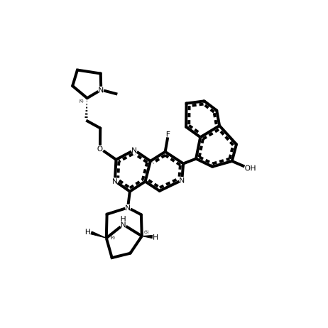 CN1CCC[C@H]1CCOc1nc(N2C[C@H]3CC[C@@H](C2)N3)c2cnc(-c3cc(O)cc4ccccc34)c(F)c2n1